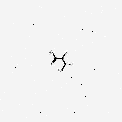 C[C@H](N)C(O)C(N)=O